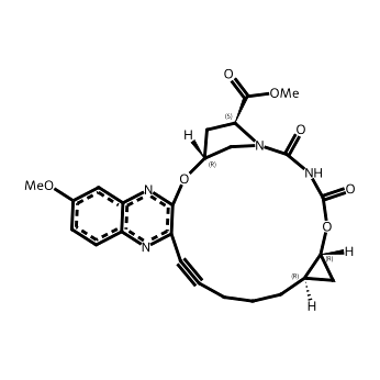 COC(=O)[C@@H]1C[C@@H]2CN1C(=O)NC(=O)O[C@@H]1C[C@H]1CCCC#Cc1nc3ccc(OC)cc3nc1O2